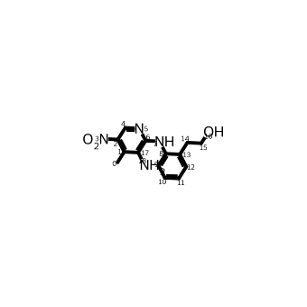 Cc1c([N+](=O)[O-])cnc(Nc2ccccc2CCO)c1N